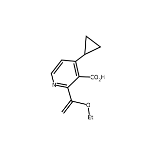 C=C(OCC)c1nccc(C2CC2)c1C(=O)O